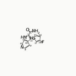 NC(=O)c1[nH]c2cnccc2c1[SH]1C=CC(F)=C1